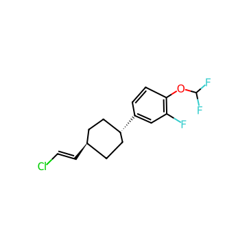 Fc1cc([C@H]2CC[C@H](/C=C/Cl)CC2)ccc1OC(F)F